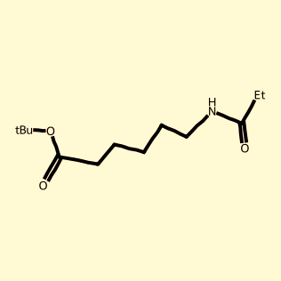 CCC(=O)NCCCCCC(=O)OC(C)(C)C